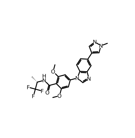 COc1cc(-n2cnc3cc(-c4cnn(C)c4)ccc32)cc(OC)c1C(=O)N[C@@H](C)C(F)(F)F